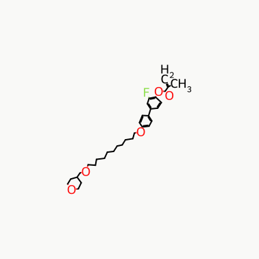 C=C(C)C(=O)Oc1ccc(-c2ccc(OCCCCCCCCCCCOCC3CCOCC3)cc2)cc1F